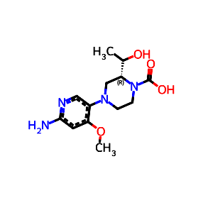 COc1cc(N)ncc1N1CCN(C(=O)O)[C@@H](C(C)O)C1